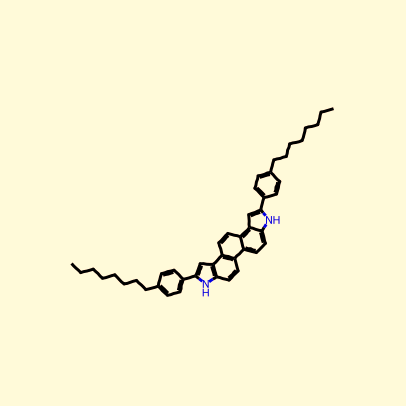 CCCCCCCCc1ccc(-c2cc3c(ccc4c3ccc3c5cc(-c6ccc(CCCCCCCC)cc6)[nH]c5ccc34)[nH]2)cc1